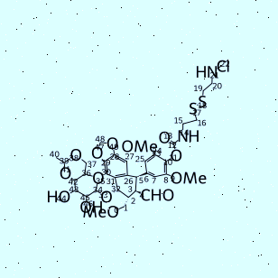 COC[C@H]1[C@H](C=O)[C@H](c2cc(OC)c(OC(=O)NCCSSCCNCl)c(OC)c2)c2cc3c(cc2[C@H]1OC1OC2COC(C)OC2C(O)C1O)OCO3